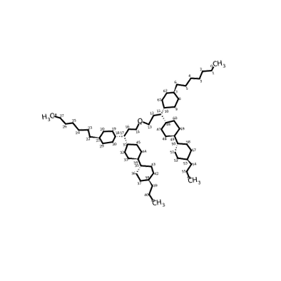 CCCCCCC[C@H]1CC[C@H](C(CCOCCC([C@H]2CC[C@H](CCCCCCC)CC2)[C@H]2CC[C@H]([C@H]3CC[C@H](CCC)CC3)CC2)[C@H]2CC[C@H]([C@H]3CC[C@H](CCC)CC3)CC2)CC1